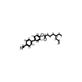 CCCC(CC)CCCC(=O)Oc1ccc(-c2ccc(C#N)cc2)cc1